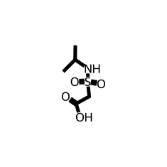 CC(C)NS(=O)(=O)CC(=O)O